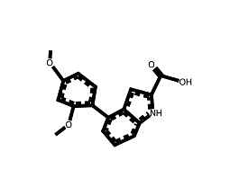 COc1ccc(-c2cccc3[nH]c(C(=O)O)cc23)c(OC)c1